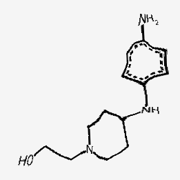 Nc1ccc(NC2CCN(CCO)CC2)cc1